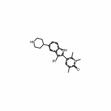 Cc1cc(-c2[nH]c3ccc(C4CCNCC4)cc3c2C(C)C)c(C)n(C)c1=O